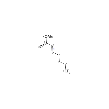 COC(=O)/C=C/CCCC(F)(F)F